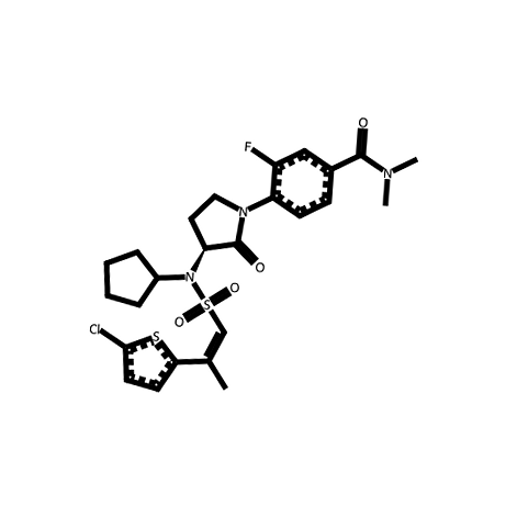 CC(=CS(=O)(=O)N(C1CCCC1)[C@H]1CCN(c2ccc(C(=O)N(C)C)cc2F)C1=O)c1ccc(Cl)s1